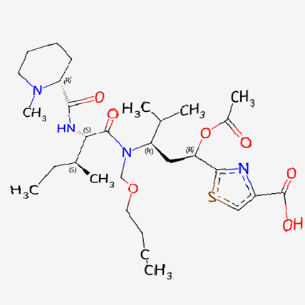 CCCCOCN(C(=O)[C@@H](NC(=O)[C@H]1CCCCN1C)[C@@H](C)CC)[C@H](C[C@@H](OC(C)=O)c1nc(C(=O)O)cs1)C(C)C